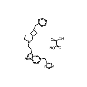 CCN(CCc1c[nH]c2ccc(Cn3cncn3)cc12)CC1CN(Cc2ccccc2)C1.O=C(O)C(=O)O